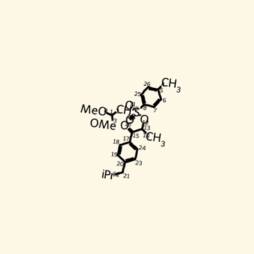 COC(C)OC.Cc1ccc(S(=O)(=O)OC(C)C(=O)c2ccc(CC(C)C)cc2)cc1